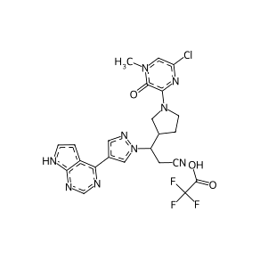 Cn1cc(Cl)nc(N2CCC(C(CC#N)n3cc(-c4ncnc5[nH]ccc45)cn3)C2)c1=O.O=C(O)C(F)(F)F